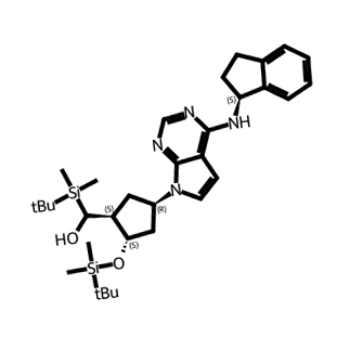 CC(C)(C)[Si](C)(C)O[C@H]1C[C@H](n2ccc3c(N[C@H]4CCc5ccccc54)ncnc32)C[C@@H]1C(O)[Si](C)(C)C(C)(C)C